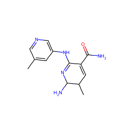 Cc1cncc(NC2=NC(N)C(C)C=C2C(N)=O)c1